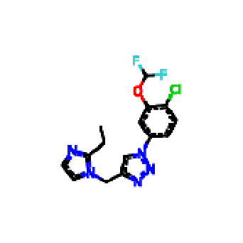 CCc1nccn1Cc1cn(-c2ccc(Cl)c(OC(F)F)c2)nn1